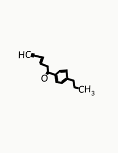 C#CC=CCC(=O)c1ccc(CCC)cc1